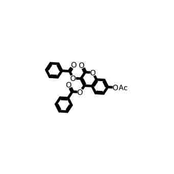 CC(=O)Oc1ccc2c(OC(=O)c3ccccc3)c(OC(=O)c3ccccc3)c(=O)oc2c1